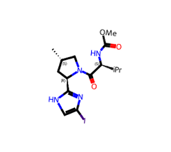 COC(=O)N[C@H](C(=O)N1C[C@@H](C)C[C@@H]1c1nc(I)c[nH]1)C(C)C